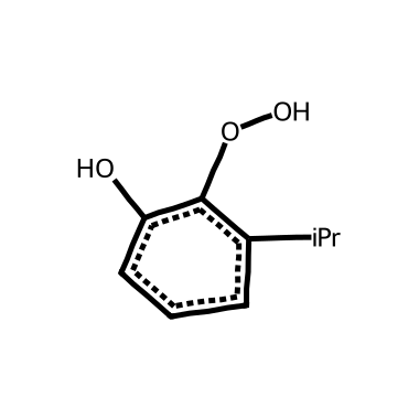 CC(C)c1cccc(O)c1OO